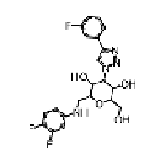 OCC1O[C@@H](CNc2ccc(F)c(F)c2)C(O)[C@@H](n2cc(-c3cccc(F)c3)nn2)[C@H]1O